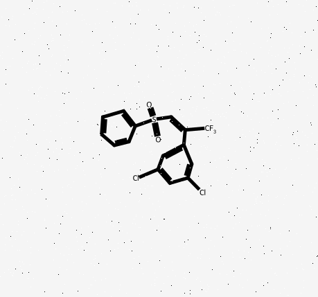 O=S(=O)(/C=C(\c1cc(Cl)cc(Cl)c1)C(F)(F)F)c1ccccc1